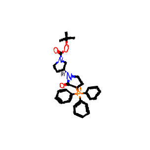 CC(C)(C)OC(=O)N1CC[C@@H](N2CCC([PH](c3ccccc3)(c3ccccc3)c3ccccc3)C2=O)C1